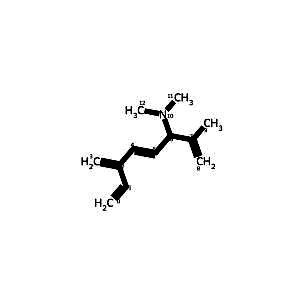 C=CC(=C)/C=C/C(C(=C)C)N(C)C